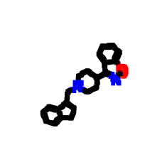 c1ccc2c(c1)CCC2CN1CCC(c2noc3ccccc23)CC1